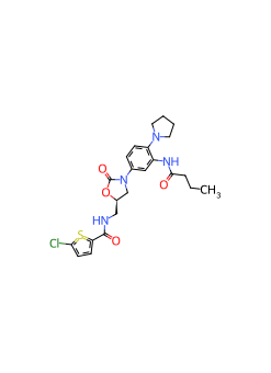 CCCC(=O)Nc1cc(N2C[C@@H](CNC(=O)c3ccc(Cl)s3)OC2=O)ccc1N1CCCC1